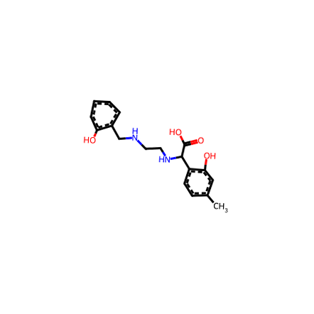 Cc1ccc(C(NCCNCc2ccccc2O)C(=O)O)c(O)c1